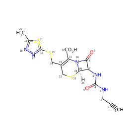 C#CCNC(=O)NC1C(=O)N2C(C(=O)O)=C(CSc3nnc(C)s3)CS[C@H]12